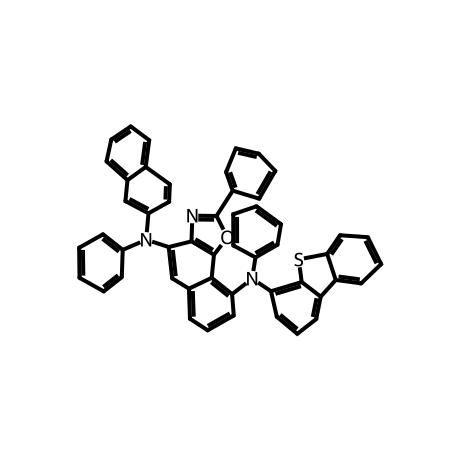 c1ccc(-c2nc3c(N(c4ccccc4)c4ccc5ccccc5c4)cc4cccc(N(c5ccccc5)c5cccc6c5sc5ccccc56)c4c3o2)cc1